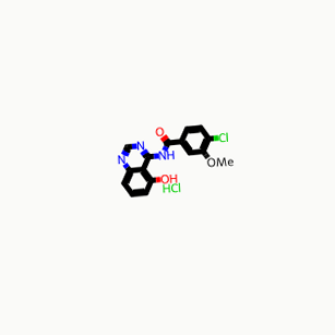 COc1cc(C(=O)Nc2ncnc3cccc(O)c23)ccc1Cl.Cl